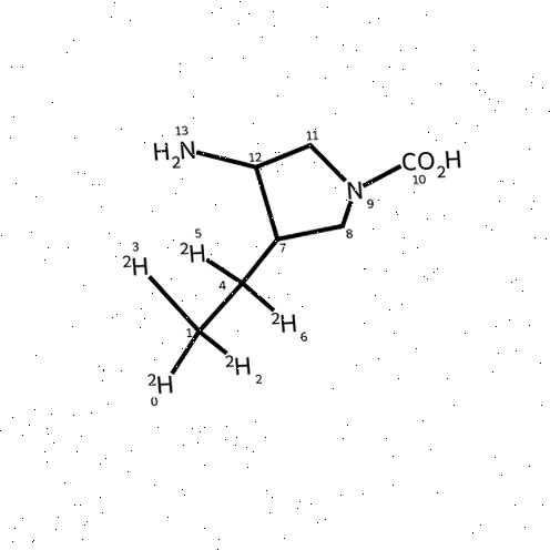 [2H]C([2H])([2H])C([2H])([2H])C1CN(C(=O)O)CC1N